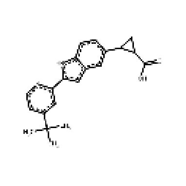 CC(C)(C)c1ccnc(-c2cc3cc(C4CC4C(=O)O)ccc3[nH]2)c1